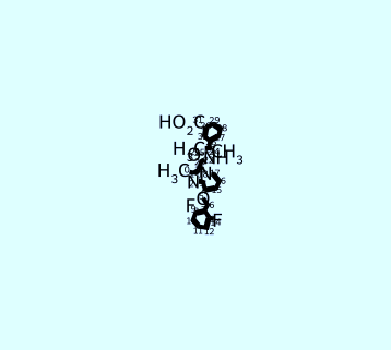 Cc1nc2c(OCc3c(F)cccc3F)cccn2c1C(=O)NC(C)(C)c1cccc(C(=O)O)c1